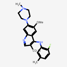 CCOC(=O)c1cnc2cc(N3CCN(C)CC3)c(OC)cc2c1Nc1cc(C)ccc1F